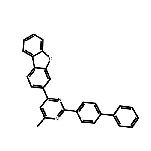 Cc1cc(-c2ccc3c(c2)oc2ccccc23)nc(-c2ccc(-c3ccccc3)cc2)n1